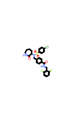 O=C(NCc1c(F)cccc1F)c1ccc(CN([C@@H]2CCCCNC2=O)S(=O)(=O)c2ccc(Cl)cc2)cc1